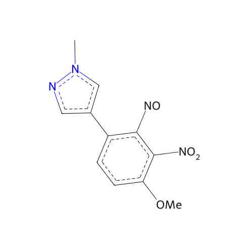 COc1ccc(-c2cnn(C)c2)c(N=O)c1[N+](=O)[O-]